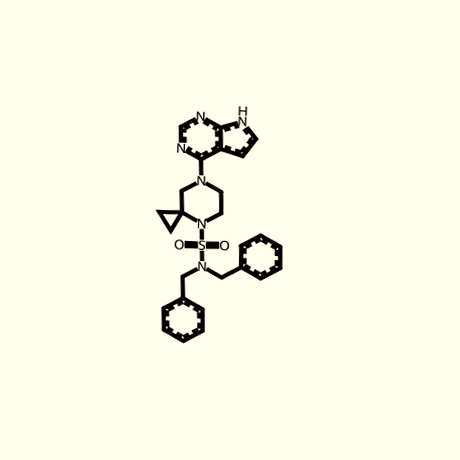 O=S(=O)(N(Cc1ccccc1)Cc1ccccc1)N1CCN(c2ncnc3[nH]ccc23)CC12CC2